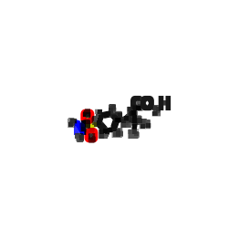 CN(C)S(=O)(=O)c1ccc([C@H]2[C@H](C(=O)O)C2(C)C)cc1